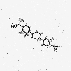 CCCC(O)c1ccc(C2CCC(c3ccc(C4CO4)c(F)c3)CC2)c(F)c1F